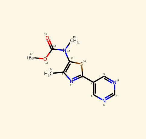 Cc1nc(-c2cncnc2)sc1N(C)C(=O)OC(C)(C)C